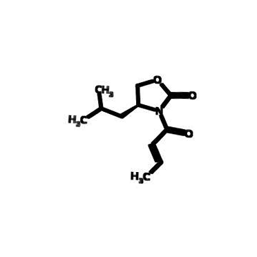 C/C=C/C(=O)N1C(=O)OC[C@@H]1CC(C)C